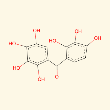 O=C(c1ccc(O)c(O)c1O)c1cc(O)c(O)c(O)c1O